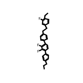 CCCc1ccc(-c2ccc(-c3ccc(CCc4ccc(CC)c(F)c4)cc3)c(F)c2F)cc1